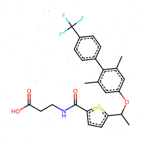 Cc1cc(OC(C)c2ccc(C(=O)NCCC(=O)O)s2)cc(C)c1-c1ccc(C(F)(F)F)cc1